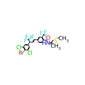 CCSC[C@@H](C)NC(=O)c1ccc(/C(F)=C/C(c2cc(Cl)c(Br)c(Cl)c2)C(F)(F)F)cc1C(F)(F)F